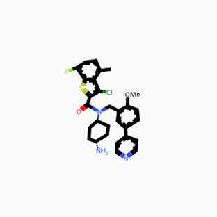 COc1ccc(-c2ccncc2)cc1CN(C(=O)c1sc2c(F)ccc(C)c2c1Cl)[C@H]1CC[C@H](N)CC1